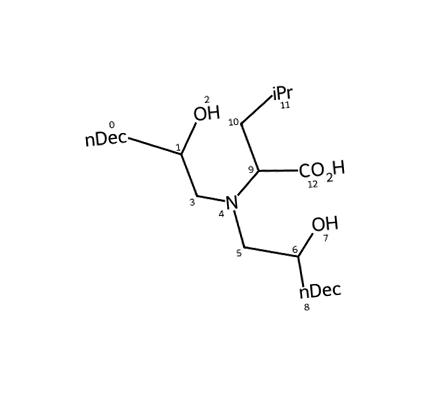 CCCCCCCCCCC(O)CN(CC(O)CCCCCCCCCC)C(CC(C)C)C(=O)O